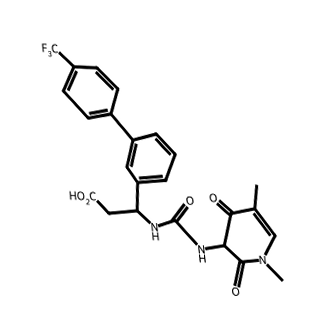 CC1=CN(C)C(=O)C(NC(=O)NC(CC(=O)O)c2cccc(-c3ccc(C(F)(F)F)cc3)c2)C1=O